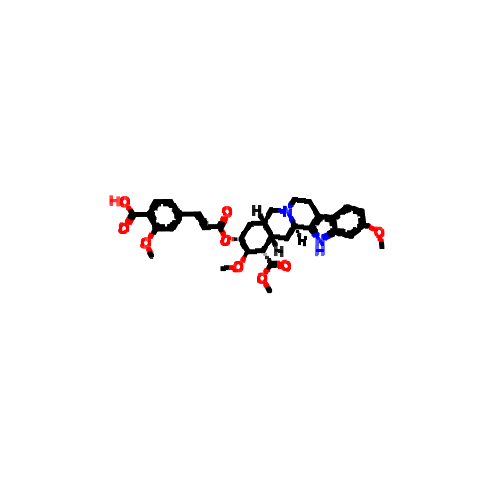 COC(=O)[C@H]1[C@H]2C[C@@H]3c4[nH]c5cc(OC)ccc5c4CCN3C[C@H]2C[C@@H](OC(=O)/C=C/c2ccc(C(=O)O)c(OC)c2)[C@@H]1OC